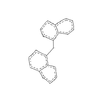 [CH](c1cccc2ccccc12)c1cccc2ccccc12